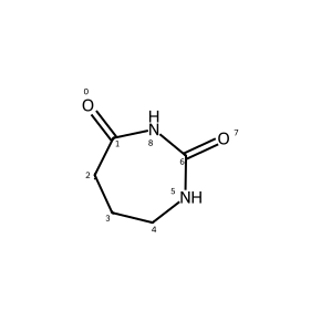 O=C1[CH]CCNC(=O)N1